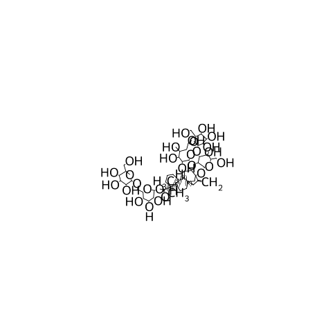 C=C1C[C@@]23CC[C@H]4[C@@](C)(CCC[C@@]4(C)C(=O)OC4OC(COC5OC(CO)C(O)C(O)C5O)C(O)C(O)C4O)[C@@H]2CCC1(OC1OC(CO)C(O)C(OC2OC(CO)C(O)C(O)C2O)C1OC1OC(CO)C(O)C(O)C1O)C3